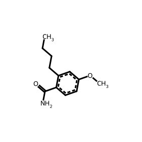 CCCCc1cc(OC)ccc1C(N)=O